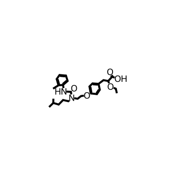 CCOC(Cc1ccc(OCCN(CCCC(C)C)C(=O)Nc2ccccc2C)cc1)C(=O)O